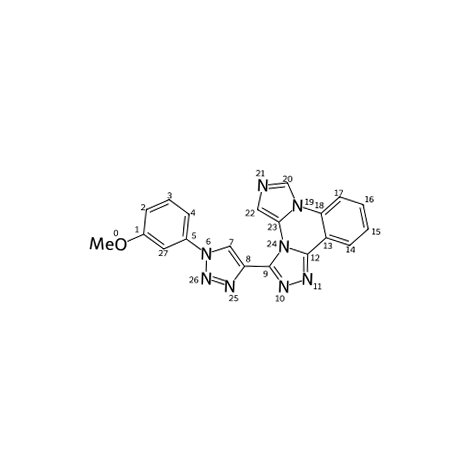 COc1cccc(-n2cc(-c3nnc4c5ccccc5n5cncc5n34)nn2)c1